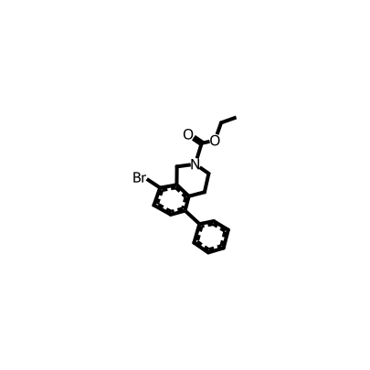 CCOC(=O)N1CCc2c(-c3ccccc3)ccc(Br)c2C1